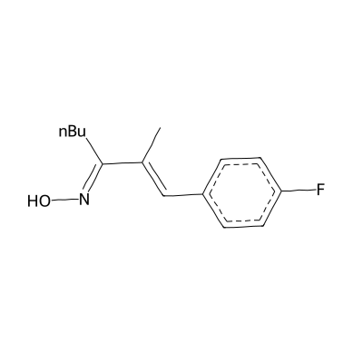 CCCCC(=NO)/C(C)=C/c1ccc(F)cc1